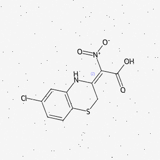 O=C(O)/C(=C1\CSc2ccc(Cl)cc2N1)[N+](=O)[O-]